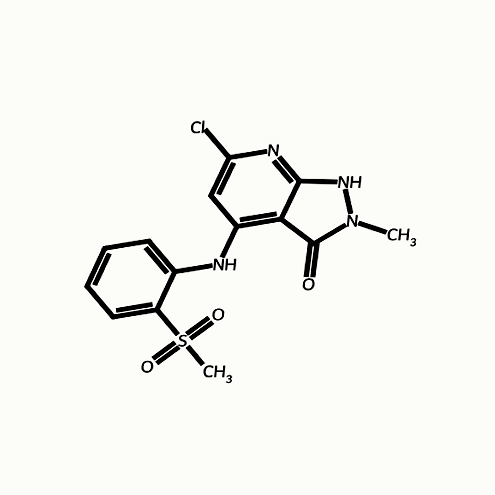 Cn1[nH]c2nc(Cl)cc(Nc3ccccc3S(C)(=O)=O)c2c1=O